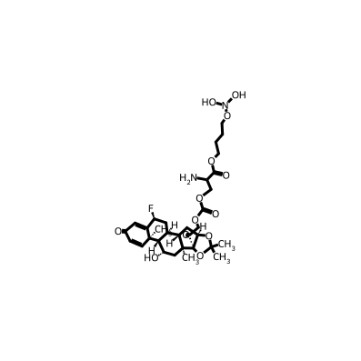 CC1(C)O[C@@H]2C[C@H]3[C@@H]4C[C@H](F)C5=CC(=O)C=C[C@]5(C)[C@H]4[C@@H](O)C[C@]3(C)[C@]2(C(=O)COC(=O)OCC(N)C(=O)OCCCCON(O)O)O1